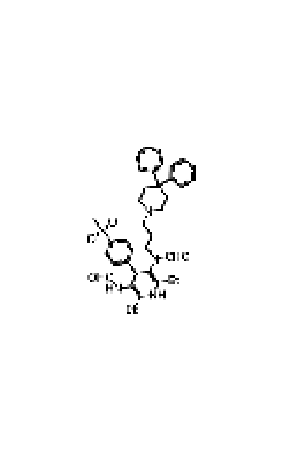 CCC1=C(NC=O)C(c2ccc(S(C)(=O)=O)cc2)C(N(C=O)CCCN2CCC(c3ccccc3)(c3ccccc3)CC2)=C(CC)N1